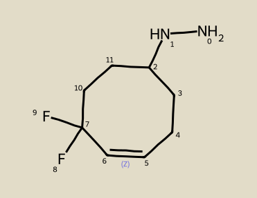 NNC1CC/C=C\C(F)(F)CC1